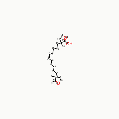 CCC(C)(CCCCC/C=C\CCCCC(C)(CC)C(=O)O)C(C)=O